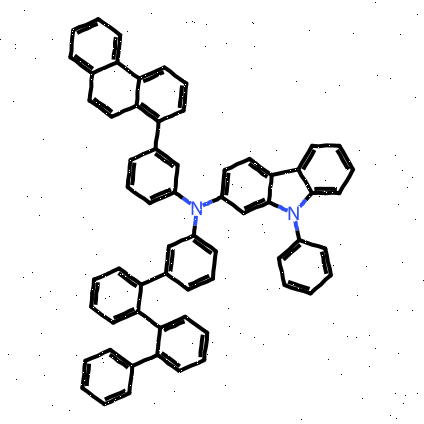 c1ccc(-c2ccccc2-c2ccccc2-c2cccc(N(c3cccc(-c4cccc5c4ccc4ccccc45)c3)c3ccc4c5ccccc5n(-c5ccccc5)c4c3)c2)cc1